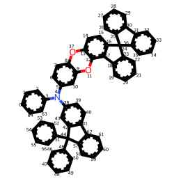 c1ccc(N(c2ccc3c(c2)Oc2c(ccc4c2-c2ccccc2C42c4ccccc4-c4ccccc42)O3)c2ccc3c(c2)C(c2ccccc2)(c2ccccc2)c2ccccc2-3)cc1